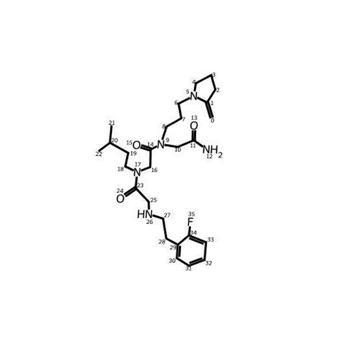 C=C1CCCN1CCCN(CC(N)=O)C(=O)CN(CCC(C)C)C(=O)CNCCc1ccccc1F